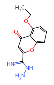 CCOc1cccc2oc(C(=N)NN)cc(=O)c12